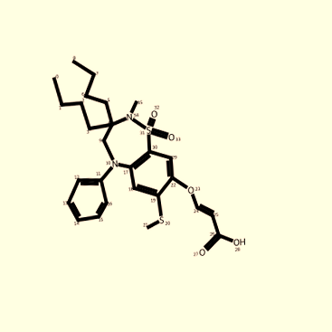 CCCCC1(CCCC)CN(c2ccccc2)c2cc(SC)c(O/C=C/C(=O)O)cc2S(=O)(=O)N1C